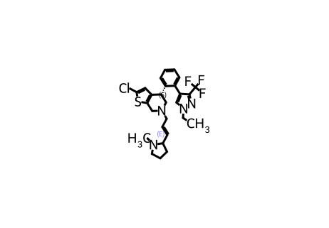 CCn1cc(-c2ccccc2[C@@H]2CN(C/C=C/C3CCCN3C)Cc3sc(Cl)cc32)c(C(F)(F)F)n1